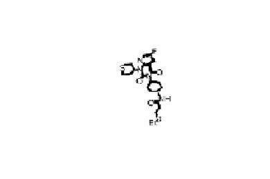 CCOCCC(=O)N[C@H]1CC[C@@H](n2c(=O)c3cc(F)cnc3n(C3CCSCC3)c2=O)CC1